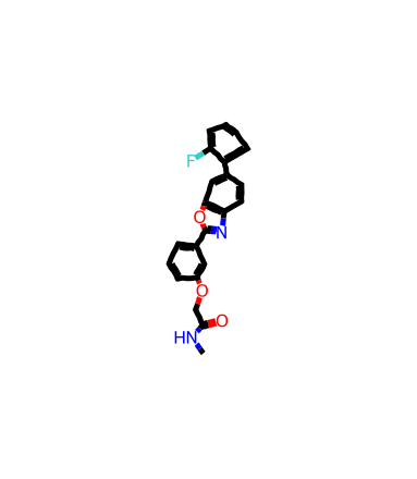 CNC(=O)COc1cccc(-c2nc3ccc(-c4ccccc4F)cc3o2)c1